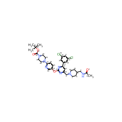 CC(=O)NCC1CCN(Cc2cc(-c3cc(Cl)cc(Cl)c3)nc(Oc3ccc(N4CCN(C(=O)OC(C)(C)C)CC4)nc3)n2)CC1